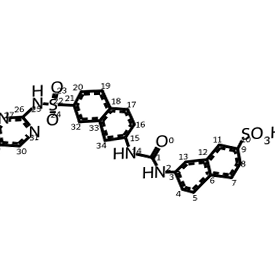 O=C(Nc1ccc2ccc(S(=O)(=O)O)cc2c1)Nc1ccc2ccc(S(=O)(=O)Nc3ncccn3)cc2c1